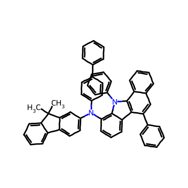 CC1(C)c2ccccc2-c2ccc(N(c3ccc(-c4ccccc4)cc3)c3cccc4c5c(-c6ccccc6)cc6ccccc6c5n(-c5ccccc5)c34)cc21